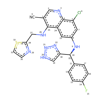 N#Cc1cnc2c(Cl)cc(N[C@@H](c3ccc(F)cc3)c3c[nH]nn3)cc2c1NCc1nccs1